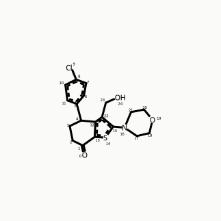 O=C1CCC(c2ccc(Cl)cc2)c2c1sc(N1CCOCC1)c2CO